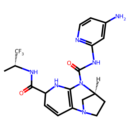 C[C@@H](NC(=O)C1C=CC2=C(N1)N(C(=O)Nc1cc(N)ccn1)[C@H]1CCN2C1)C(F)(F)F